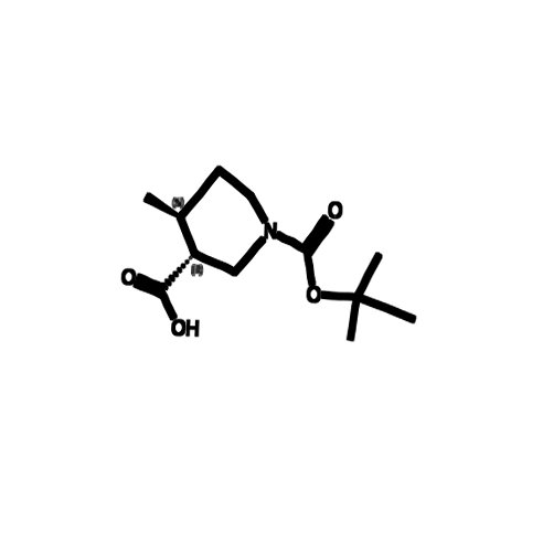 C[C@H]1CCN(C(=O)OC(C)(C)C)C[C@@H]1C(=O)O